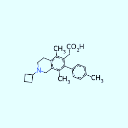 Cc1ccc(-c2c(C)c3c(c(C)c2CC(=O)O)CCN(C2CCC2)C3)cc1